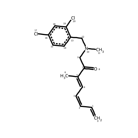 C=C/C=C\C=C(/C)C(=O)CN(C)Cc1ccc(Cl)cc1Cl